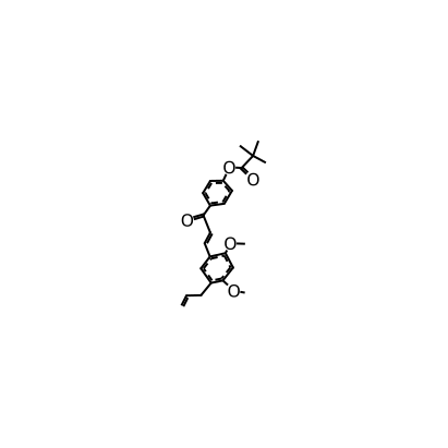 C=CCc1cc(C=CC(=O)c2ccc(OC(=O)C(C)(C)C)cc2)c(OC)cc1OC